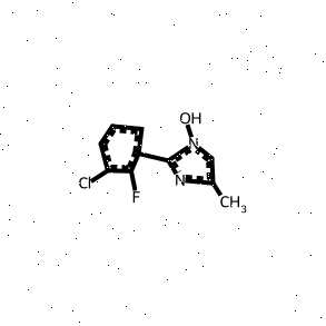 Cc1cn(O)c(-c2cccc(Cl)c2F)n1